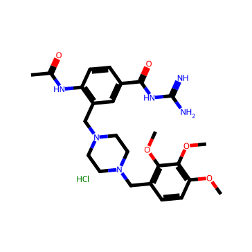 COc1ccc(CN2CCN(Cc3cc(C(=O)NC(=N)N)ccc3NC(C)=O)CC2)c(OC)c1OC.Cl